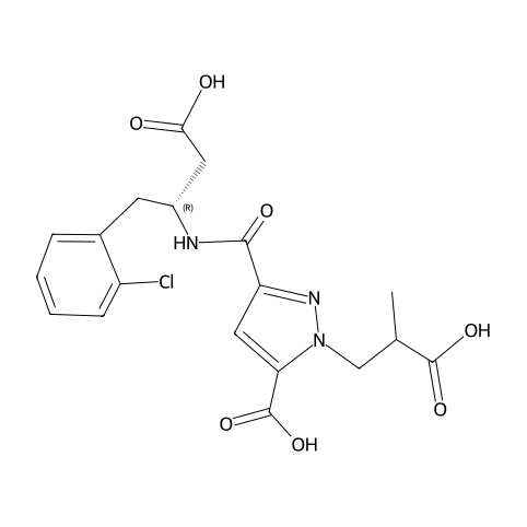 CC(Cn1nc(C(=O)N[C@@H](CC(=O)O)Cc2ccccc2Cl)cc1C(=O)O)C(=O)O